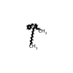 CCCCCCCCCCCCC1N(CCC)C=CN1Cc1ccccc1